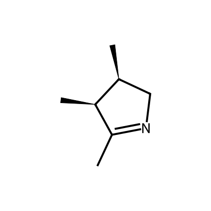 CC1=NC[C@H](C)[C@@H]1C